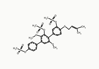 COc1cc(-c2ccc(OS(C)(=O)=O)cc2)c(OC)c(OS(C)(=O)=O)c1-c1ccc(SCC=C(C)C)c(OS(C)(=O)=O)c1